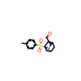 Cc1ccc(S(=O)(=O)N2C3CCC(CC3)C2[C]=O)cc1